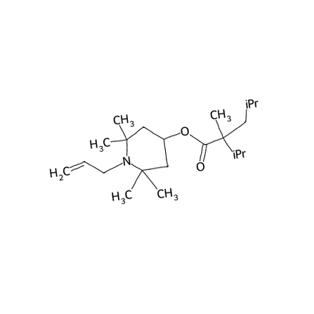 C=CCN1C(C)(C)CC(OC(=O)C(C)(CC(C)C)C(C)C)CC1(C)C